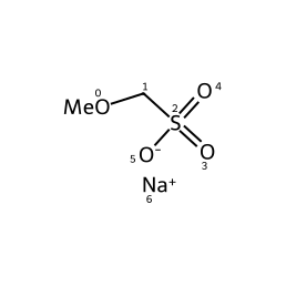 COCS(=O)(=O)[O-].[Na+]